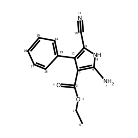 CCOC(=O)c1c(N)[nH]c(C#N)c1-c1ccccc1